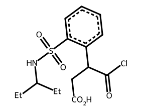 CCC(CC)NS(=O)(=O)c1ccccc1C(CC(=O)O)C(=O)Cl